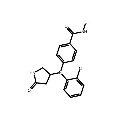 O=C1CC(N(c2ccc(C(=O)NO)cc2)c2ccccc2Cl)CN1